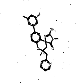 Cc1cc(F)cc(-c2ccc3c(c2)C2(C[C@](C)(Cc4ccccn4)O3)N=C(N)N(C)C2=O)c1